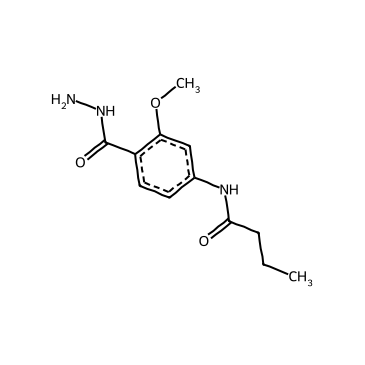 CCCC(=O)Nc1ccc(C(=O)NN)c(OC)c1